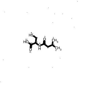 CC(C)CC(=O)NC(CS)C(=O)O